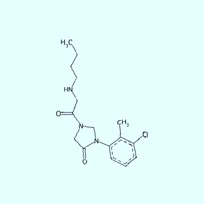 CCCCNCC(=O)N1CC(=O)N(c2cccc(Cl)c2C)C1